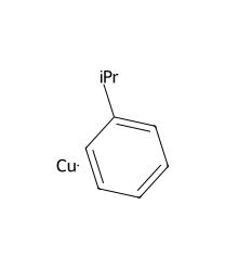 CC(C)c1ccccc1.[Cu]